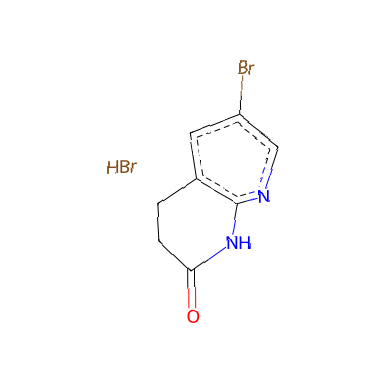 Br.O=C1CCc2cc(Br)cnc2N1